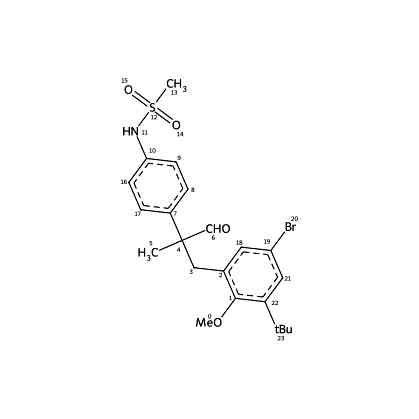 COc1c(CC(C)(C=O)c2ccc(NS(C)(=O)=O)cc2)cc(Br)cc1C(C)(C)C